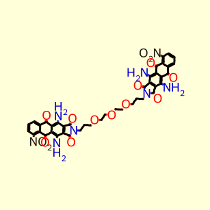 Nc1c2c(=O)c3cccc([N+](=O)[O-])c3c(=O)c2c(N)c2c(=O)n(CCCOCCOCCOCCCn3c(=O)c4c(N)c5c(=O)c6cccc([N+](=O)[O-])c6c(=O)c5c(N)c4c3=O)c(=O)c12